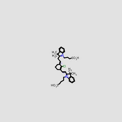 CC1(C)C(/C=C/C2=C(Cl)C(=C/CC3N(CCCS(=O)(=O)O)c4ccccc4C3(C)C)/CCC2)=[N+](CCCCS(=O)(=O)O)c2ccccc21